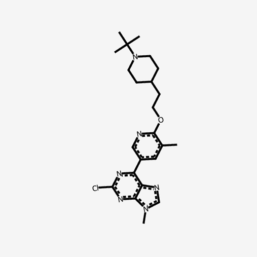 Cc1cc(-c2nc(Cl)nc3c2ncn3C)cnc1OCCC1CCN(C(C)(C)C)CC1